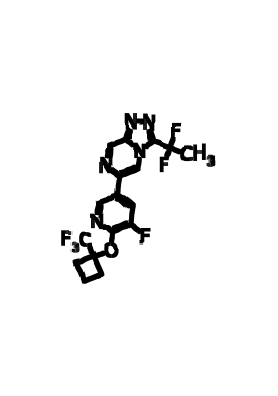 CC(F)(F)c1nnc2cnc(-c3cnc(OC4(C(F)(F)F)CCC4)c(F)c3)cn12